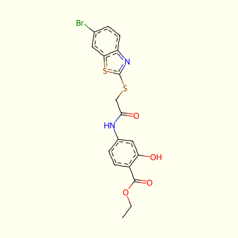 CCOC(=O)c1ccc(NC(=O)CSc2nc3ccc(Br)cc3s2)cc1O